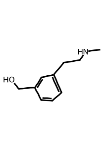 CNCCc1cccc(CO)c1